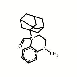 CN1CC[N+](C=O)(C23CC4CC(CC(C4)C2)C3)c2ccccc21